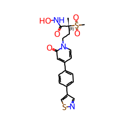 C[C@@](CCn1ccc(-c2ccc(-c3cnsc3)cc2)cc1=O)(C(=O)NO)S(C)(=O)=O